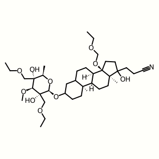 CCOCO[C@@]12CCC(O)(CCC#N)[C@@]1(C)CC[C@@H]1[C@H]2CCC2CC(O[C@@H]3O[C@H](C)[C@](O)(COCC)[C@H](OC)[C@]3(O)COCC)CC[C@@]21C